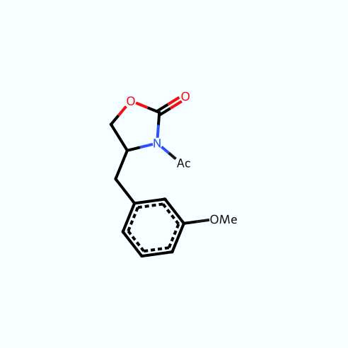 COc1cccc(CC2COC(=O)N2C(C)=O)c1